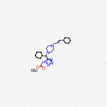 CC(C)(C)OC(=O)Cn1nnnc1[C@@H](c1ccccc1)N1CCN(C/C=C/c2ccccc2)CC1